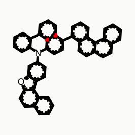 c1ccc(-c2ccccc2N(c2ccc(-c3cccc4c3ccc3ccc5ccccc5c34)cc2)c2ccc3c(c2)oc2ccc4ccccc4c23)cc1